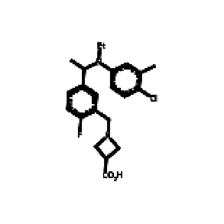 CCN(c1ccc(Cl)c(C)c1)C(C)c1ccc(F)c(CN2CC(C(=O)O)C2)c1